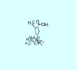 CC[C@@H]1C[C@@H](O[Si](C)(C)C(C)(C)C)C[C@@H]1C(=O)O